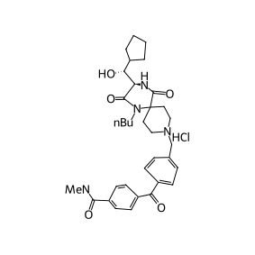 CCCCN1C(=O)[C@@H]([C@H](O)C2CCCC2)NC(=O)C12CCN(Cc1ccc(C(=O)c3ccc(C(=O)NC)cc3)cc1)CC2.Cl